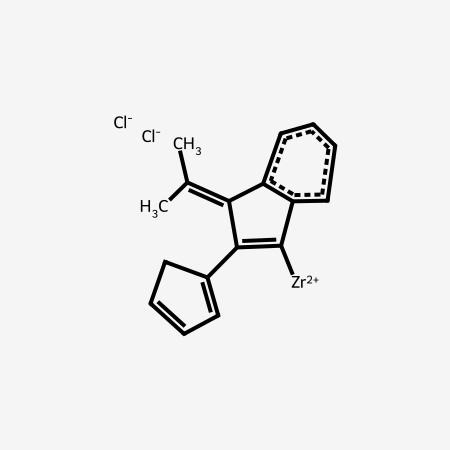 CC(C)=C1C(C2=CC=CC2)=[C]([Zr+2])c2ccccc21.[Cl-].[Cl-]